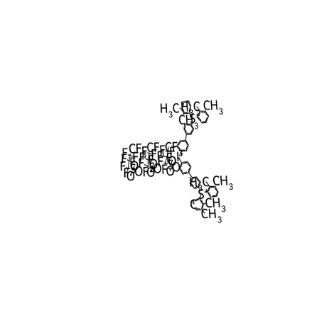 Cc1cccc([S+](c2ccc(-c3ccc([I+]c4ccc(-c5ccc([S+](c6cccc(C)c6C)c6cccc(C)c6C)cc5)cc4)cc3)cc2)c2cccc(C)c2C)c1C.O=S(=O)([O-])C(F)(F)C(F)(F)C(F)(F)C(F)(F)F.O=S(=O)([O-])C(F)(F)C(F)(F)C(F)(F)C(F)(F)F.O=S(=O)([O-])C(F)(F)C(F)(F)C(F)(F)C(F)(F)F